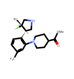 CC[C@@]1(F)CNC[C@@H]1c1ccc(C(F)(F)F)cc1N1CCC(C(=O)OC)CC1